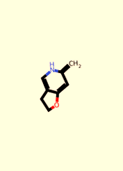 C=C1C=C2OCCC2=CN1